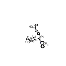 CC/C(=C\c1ccccc1)[C@@H]1C[C@H]1NC1CC2(C1)CN(C(CO)CO)C2.O=C(O)C(F)(F)F.O=C(O)C(F)(F)F